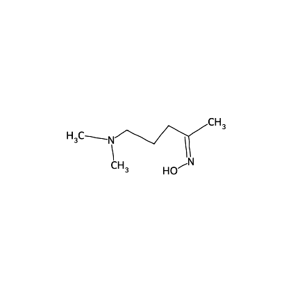 CC(CCCN(C)C)=NO